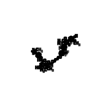 COc1c(C#N)ccc(N2C(=O)C(C)(C)N(c3cnc(-c4ccc(OCCCCOCC(=O)N[C@H](C(=O)N5C[C@H](O)C[C@H]5C(=O)NCc5ccc(-c6scnc6C)cc5)C(C)(C)C)cc4C(F)(F)F)c(F)c3)C2=S)c1F